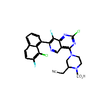 N#CCC1CN(c2nc(Cl)nc3c(F)c(-c4cccc5ccc(F)c(Cl)c45)ncc23)CCN1C(=O)O